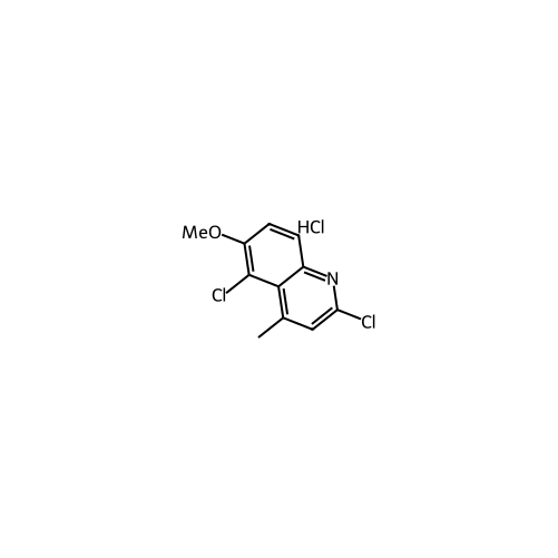 COc1ccc2nc(Cl)cc(C)c2c1Cl.Cl